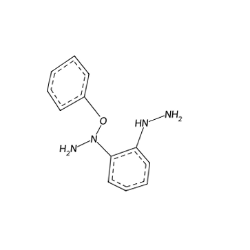 NNc1ccccc1N(N)Oc1ccccc1